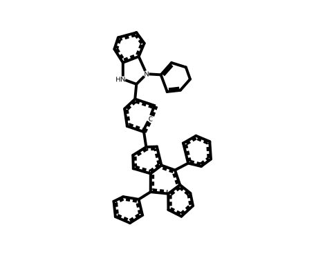 C1=CC(N2c3ccccc3NC2c2ccc(-c3ccc4c(-c5ccccc5)c5ccccc5c(-c5ccccc5)c4c3)cc2)=CCC1